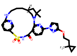 CC1(C)C[C@H]2CCCNc3ccc(cn3)S(=O)(=O)NC(=O)c3ccc(-n4ccc(OCCC5(C(F)(F)F)CC5)n4)nc3N1C2